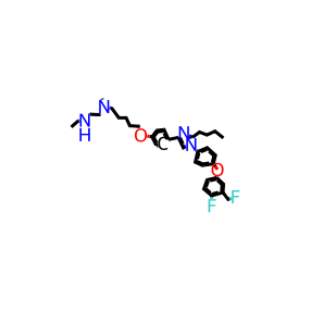 CCCCc1nc(-c2ccc(OCCCCCN(C)CCNCC)cc2)cn1-c1ccc(Oc2ccc(F)c(CF)c2)cc1